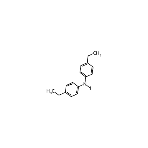 CCc1ccc(N(I)c2ccc(CC)cc2)cc1